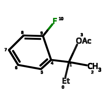 CCC(C)(OC(C)=O)c1ccccc1F